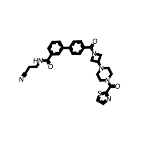 N#CCCNC(=O)c1cccc(-c2ccc(C(=O)N3CC(N4CCN(C(=O)c5nccs5)CC4)C3)cc2)c1